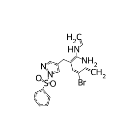 C=CN/C(N)=C(/C=C(/Br)C=C)Cc1cnn(S(=O)(=O)c2ccccc2)c1